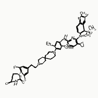 CCc1cc(Nc2ncc(Cl)c(Nc3ccc4nc(C)c(F)cc4c3P(C)(C)=O)n2)c(OC)cc1N1CCC2(CCN(CCc3cc(F)c([C@H]4CCC(=O)NC4=O)c(F)c3)CC2)CC1